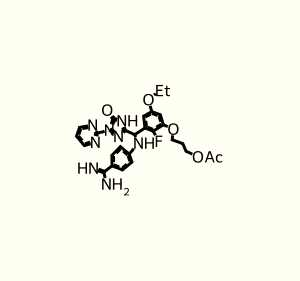 CCOc1cc(OCCCOC(C)=O)c(F)c(C(Nc2ccc(C(=N)N)cc2)c2nn(-c3ncccn3)c(=O)[nH]2)c1